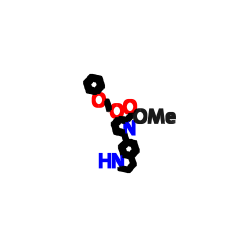 COC(=O)c1nc(-c2ccc3c(c2)NCCC3)ccc1OCCOc1ccccc1